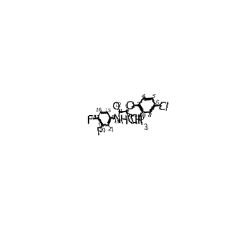 CC(Oc1ccc(Cl)cc1Cl)C(=O)Nc1ccc(F)c(F)c1